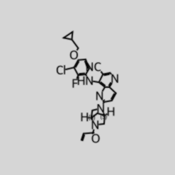 C=CC(=O)N1C[C@@H]2C[C@H]1CN2c1ccc2ncc(C#N)c(Nc3ccc(OCC4CC4)c(Cl)c3F)c2n1